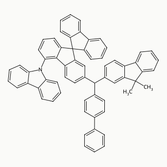 CC1(C)c2ccccc2-c2ccc(C(c3ccc(-c4ccccc4)cc3)c3ccc4c(c3)C3(c5ccccc5-c5ccccc53)c3cccc(-n5c6ccccc6c6ccccc65)c3-4)cc21